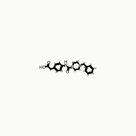 O=C(O)Cc1ccc(NC(=O)N2CCN(Cc3ccccc3)CC2)cc1